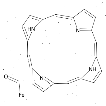 C1=Cc2cc3ccc(cc4nc(cc5ccc(cc1n2)[nH]5)C=C4)[nH]3.O=[CH][Fe]